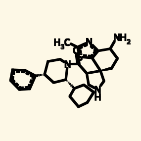 Cc1nc2c(s1)[C@]1(CCC2N)CNCC1C(=O)N1CC[C@@H](c2ccccc2)C[C@H]1C1CCCCC1